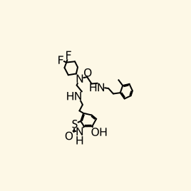 Cc1ccccc1CCNCCC(=O)N(CCNCCc1ccc(O)c2[nH]c(=O)sc12)C1CCC(F)(F)CC1